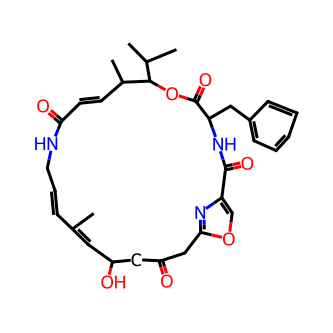 CC1=C\C(O)CC(=O)Cc2nc(co2)C(=O)NC(Cc2ccccc2)C(=O)OC(C(C)C)C(C)/C=C/C(=O)NC\C=C\1